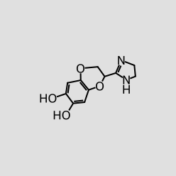 Oc1cc2c(cc1O)OC(C1=NCCN1)CO2